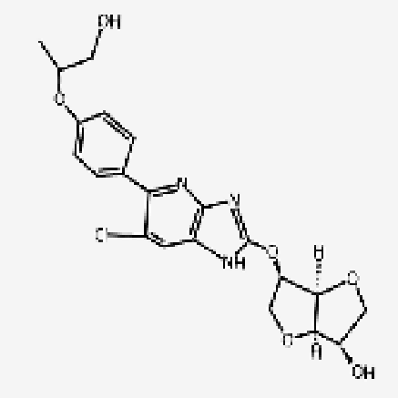 CC(CO)Oc1ccc(-c2nc3nc(O[C@@H]4CO[C@H]5[C@@H]4OC[C@H]5O)[nH]c3cc2Cl)cc1